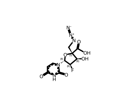 [N-]=[N+]=NC[C@]1(C(=O)O)O[C@@H](n2ccc(=O)[nH]c2=O)[C@H](F)[C@@H]1O